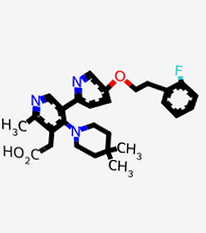 Cc1ncc(-c2ccc(OCCc3ccccc3F)cn2)c(N2CCC(C)(C)CC2)c1CC(=O)O